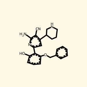 N#Cc1c(C2CCCNC2)cc(-c2c(O)cccc2OCc2ccccc2)nc1N